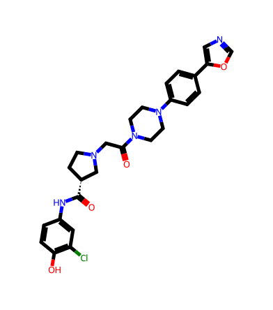 O=C(Nc1ccc(O)c(Cl)c1)[C@@H]1CCN(CC(=O)N2CCN(c3ccc(-c4cnco4)cc3)CC2)C1